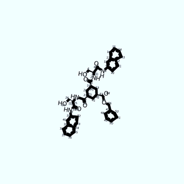 O=C(N[C@@H](CO)C(=O)Nc1ccc2ccccc2c1)[C@@H]1C[C@H](C(=O)N[C@@H](CO)C(=O)Nc2ccc3ccccc3c2)C[C@H](C(=O)OCc2ccccc2)C1